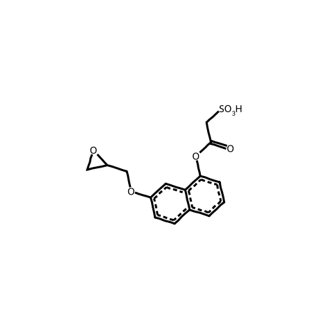 O=C(CS(=O)(=O)O)Oc1cccc2ccc(OCC3CO3)cc12